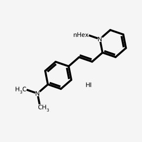 CCCCCCN1CC=CC=C1C=Cc1ccc(N(C)C)cc1.I